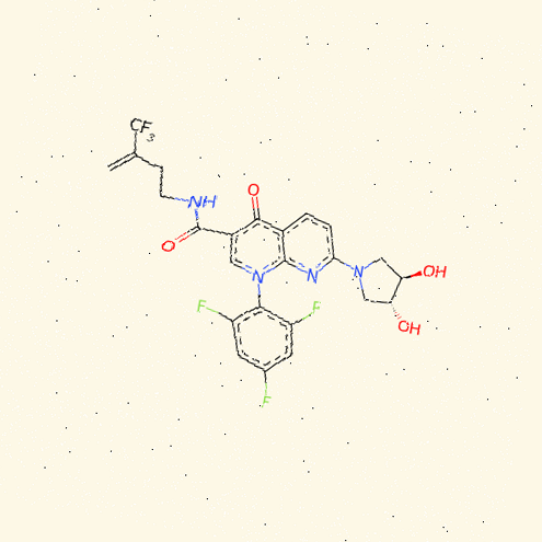 C=C(CCNC(=O)c1cn(-c2c(F)cc(F)cc2F)c2nc(N3C[C@@H](O)[C@H](O)C3)ccc2c1=O)C(F)(F)F